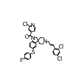 O=C(c1ccnc(Cl)c1)N1CC2(CCN(C/C=C/c3ccc(Cl)cc3Cl)CC2)c2cc(Sc3ccc(F)cc3)ccc21